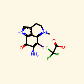 C[N+]1=C2C(I)=C(N)C(=O)c3[nH]cc(c32)CC1.O=C([O-])C(F)(F)F